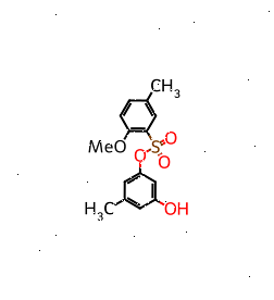 COc1ccc(C)cc1S(=O)(=O)Oc1cc(C)cc(O)c1